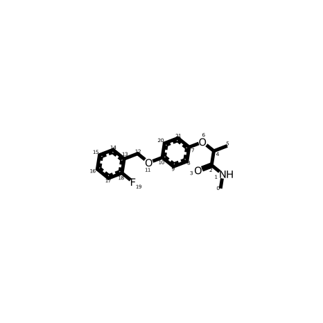 CNC(=O)C(C)Oc1ccc(OCc2ccccc2F)cc1